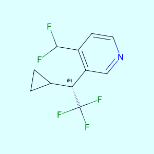 FC(F)c1ccncc1[C@@H](C1CC1)C(F)(F)F